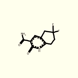 NC(=O)c1cc2c([nH]c1=O)CCC(F)(F)C2